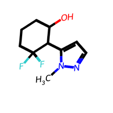 Cn1nccc1C1C(O)CCCC1(F)F